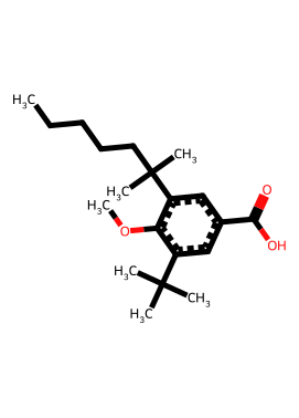 CCCCCC(C)(C)c1cc(C(=O)O)cc(C(C)(C)C)c1OC